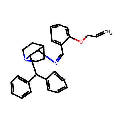 C=CCOc1ccccc1/C=N\C1C2CCN(CC2)C1C(c1ccccc1)c1ccccc1